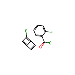 Fc1cc2ccc1-2.O=C(Cl)c1ccccc1F